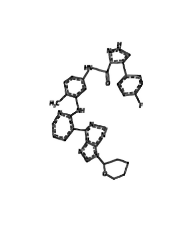 Cc1ccc(NC(=O)c2n[nH]cc2-c2ccc(F)cc2)cc1Nc1ncccc1-c1ncnc2c1ncn2C1CCCCO1